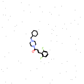 O=C(C=Cc1c(F)cccc1F)N1CCN(CC2CCCCC2)CC1